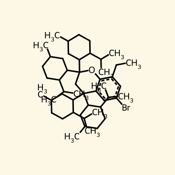 CCc1cc(Br)cc2c1OC(C1CC(C)CCC1C(C)C)(C1CC(C)CCC1C(C)C)CC2(C1CC(C)CCC1C(C)C)C1CC(C)CCC1C(C)C